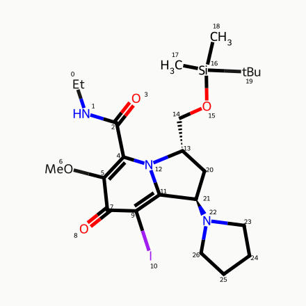 CCNC(=O)c1c(OC)c(=O)c(I)c2n1[C@H](CO[Si](C)(C)C(C)(C)C)C[C@H]2N1CCCC1